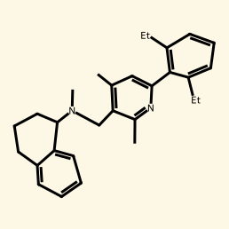 CCc1cccc(CC)c1-c1cc(C)c(CN(C)C2CCCc3ccccc32)c(C)n1